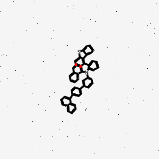 c1cc(-c2ccc(-c3cccc4ccccc34)cc2)cc(N(c2ccccc2-c2cccc3sc4ccccc4c23)c2cccc3ccccc23)c1